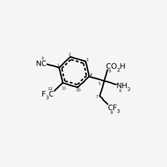 N#Cc1ccc(C(N)(CC(F)(F)F)C(=O)O)cc1C(F)(F)F